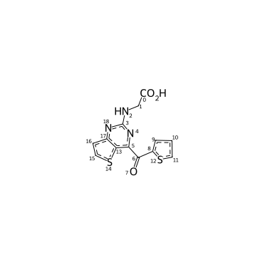 O=C(O)CNc1nc(C(=O)c2cccs2)c2sccc2n1